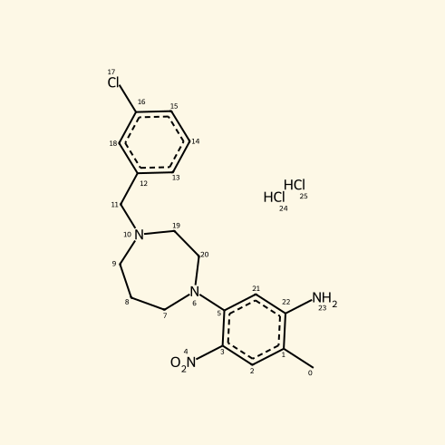 Cc1cc([N+](=O)[O-])c(N2CCCN(Cc3cccc(Cl)c3)CC2)cc1N.Cl.Cl